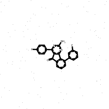 Nc1nc(-c2ccc(F)cc2)c2c(n1)-c1c(cccc1-c1cccc(F)c1)C2=O